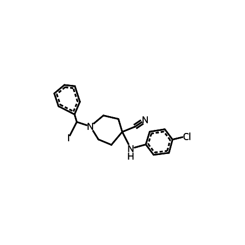 N#CC1(Nc2ccc(Cl)cc2)CCN(C(I)c2ccccc2)CC1